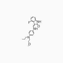 CCCN(CCOC)c1ccc(NC=C2C(=O)Nc3cccc(F)c32)cc1